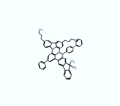 CCCCc1ccc2c(c1)c1cc(CCCC)cc3c1n2-c1cc(-c2ccccc2)cc2c1B3N(c1ccc(-c3ccccc3)cc1)c1cc3c(cc1-2)-c1ccccc1C3(C)C